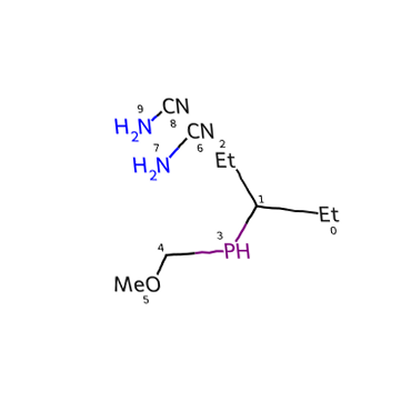 CCC(CC)PCOC.N#CN.N#CN